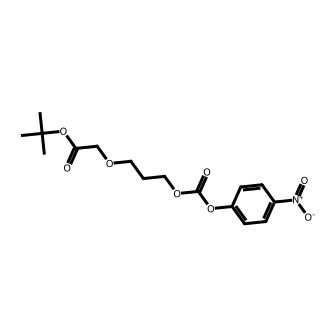 CC(C)(C)OC(=O)COCCCOC(=O)Oc1ccc([N+](=O)[O-])cc1